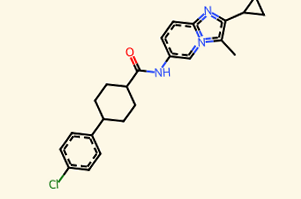 Cc1c(C2CC2)nc2ccc(NC(=O)C3CCC(c4ccc(Cl)cc4)CC3)cn12